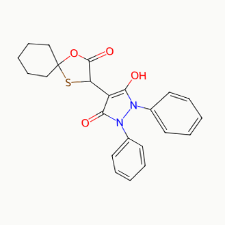 O=C1OC2(CCCCC2)SC1c1c(O)n(-c2ccccc2)n(-c2ccccc2)c1=O